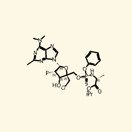 Cc1nc(N(C)C)c2ncn([C@@H]3O[C@](CCl)(CO[P@](=S)(N[C@H](C)C(=O)OC(C)C)Oc4ccccc4)[C@@H](O)[C@@H]3F)c2n1